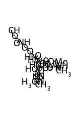 C#CCOCCC(=O)NCCOCCOCCNC(=O)N[C@@H](Cc1ccc(OC)cc1)C(=O)N[C@@H]1[C@@H](COC(=O)OCCC2(C)NN2C)OC(n2cnc3c(N(C)C)ncnc32)[C@@H]1O